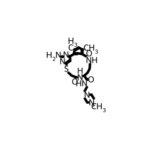 Cc1cc(C)c2cc1C(=O)NCCCC(C(=O)NCCN1CCN(C)CC1)NC(=O)CCSc1cc-2nc(N)n1